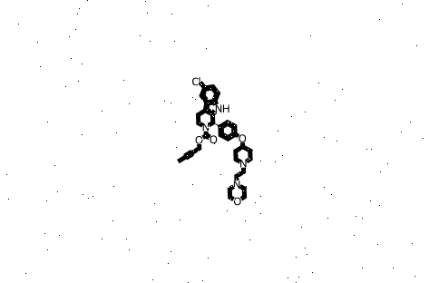 CC#CCOC(=O)N1CCc2c([nH]c3ccc(Cl)cc23)[C@@H]1c1ccc(OC2CCN(CCN3CCOCC3)CC2)cc1